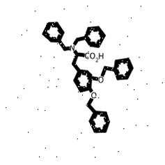 O=C(O)C(Cc1ccc(OCc2ccccc2)c(OCc2ccccc2)c1)N(Cc1ccccc1)Cc1ccccc1